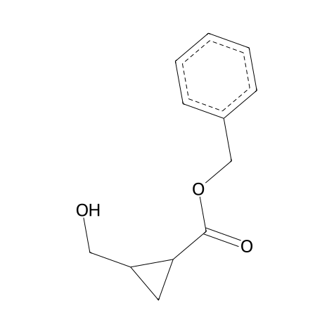 O=C(OCc1ccccc1)C1CC1CO